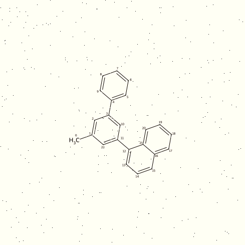 Cc1cc(-c2ccccc2)cc(-c2cccc3ccccc23)c1